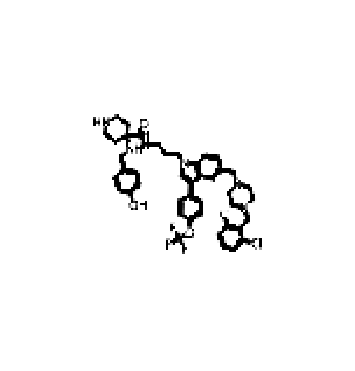 O=C(NCCCn1cc(-c2ccc(OC(F)(F)F)cc2)c2cc(CN3CCN(Cc4c(Cl)cccc4Cl)CC3)ccc21)C1(NCc2ccc(O)cc2)CCNCC1